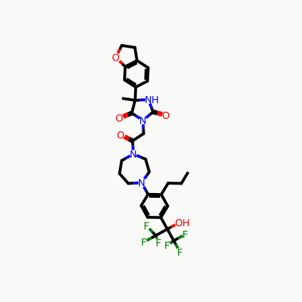 CCCc1cc(C(O)(C(F)(F)F)C(F)(F)F)ccc1N1CCCN(C(=O)CN2C(=O)NC(C)(c3ccc4c(c3)OCC4)C2=O)CC1